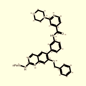 CCCCCNc1ncc2cc(-c3cccc(NC(=O)c4ccnc(N5CCOCC5)c4)c3)c(OCc3ccccc3)cc2n1